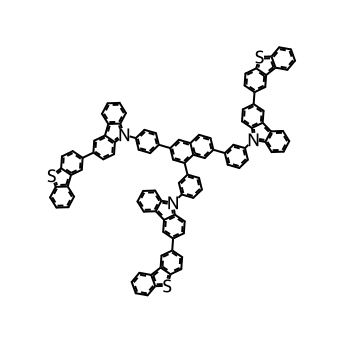 c1cc(-c2ccc3cc(-c4ccc(-n5c6ccccc6c6cc(-c7ccc8sc9ccccc9c8c7)ccc65)cc4)cc(-c4cccc(-n5c6ccccc6c6cc(-c7ccc8sc9ccccc9c8c7)ccc65)c4)c3c2)cc(-n2c3ccccc3c3cc(-c4ccc5sc6ccccc6c5c4)ccc32)c1